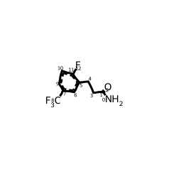 NC(=O)CCc1cc(C(F)(F)F)ccc1F